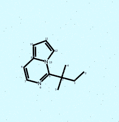 CCC(C)(C)c1nccc2cccn12